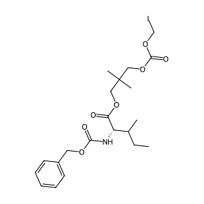 CCC(C)[C@H](NC(=O)OCc1ccccc1)C(=O)OCC(C)(C)COC(=O)OCI